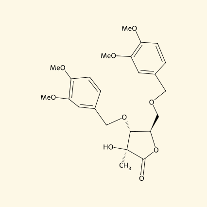 COc1ccc(COC[C@H]2OC(=O)[C@@](C)(O)[C@@H]2OCc2ccc(OC)c(OC)c2)cc1OC